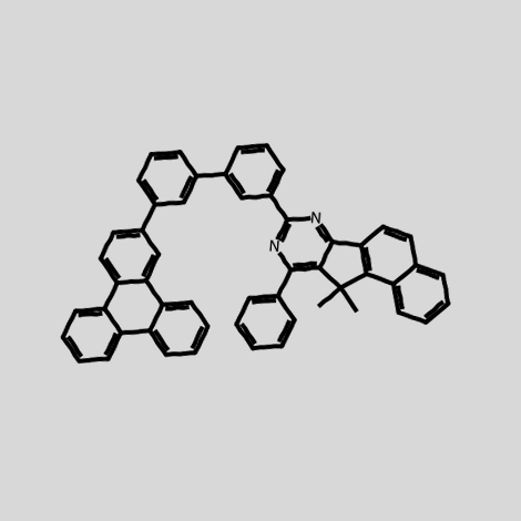 CC1(C)c2c(-c3ccccc3)nc(-c3cccc(-c4cccc(-c5ccc6c7ccccc7c7ccccc7c6c5)c4)c3)nc2-c2ccc3ccccc3c21